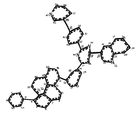 c1ccc(-c2ccc3ccc4c(-c5cccc(-c6cc(-c7cnc8ccccc8c7)nc(-c7ccc(-c8cccnc8)cc7)n6)c5)ccc5ccc2c3c54)cc1